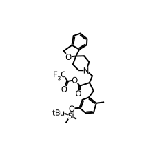 Cc1ccc(O[Si](C)(C)C(C)(C)C)cc1CC(CN1CCC2(CC1)OCc1ccccc12)C(=O)OC(=O)C(F)(F)F